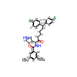 CC(C)(C)c1cc(C(=O)NC(C(=O)CCCCC(c2ccc(F)cc2)c2ccc(F)cc2)C2CCNC2)cc(C(C)(C)C)c1